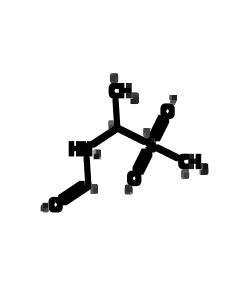 CC(NC=O)S(C)(=O)=O